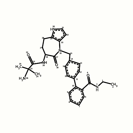 CCNC(=O)c1ccccc1-c1ccc(CN2C(=O)C(NC(=O)C(C)(C)N)CCc3[nH]ccc32)cc1